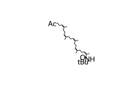 CC(=O)CCC=C(C)CCC=C(C)CCC=C(C)CCC=C(C)CCC=C(C)C(=O)NC(C)(C)C